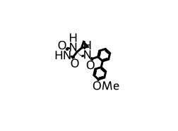 COc1ccc(-c2ccccc2C(=O)NC[C@@]2(C3CC3)NC(=O)NC2=O)cc1